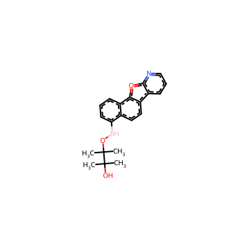 CC(C)(O)C(C)(C)OBc1cccc2c1ccc1c3cccnc3oc21